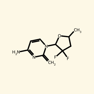 C=C1N=C(N)C=CN1C1OC(C)CC1(F)F